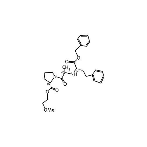 COCCOC(=O)[C@@H]1CCCN1C(=O)[C@H](C)N[C@@H](CCc1ccccc1)C(=O)OCc1ccccc1